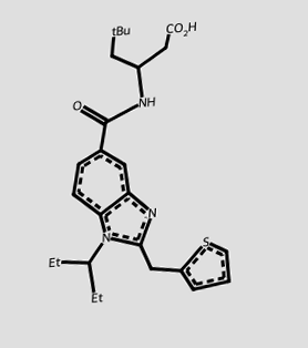 CCC(CC)n1c(Cc2cccs2)nc2cc(C(=O)NC(CC(=O)O)CC(C)(C)C)ccc21